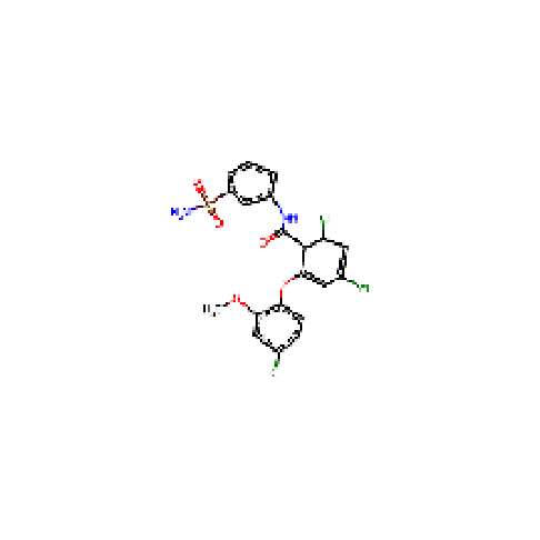 COc1cc(Cl)ccc1OC1=CC(Cl)=CC(Cl)C1C(=O)Nc1cccc(S(N)(=O)=O)c1